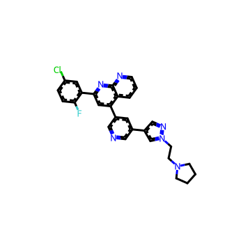 Fc1ccc(Cl)cc1-c1cc(-c2cncc(-c3cnn(CCN4CCCC4)c3)c2)c2cccnc2n1